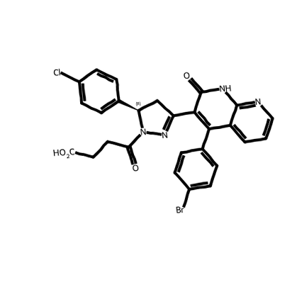 O=C(O)CCC(=O)N1N=C(c2c(-c3ccc(Br)cc3)c3cccnc3[nH]c2=O)C[C@@H]1c1ccc(Cl)cc1